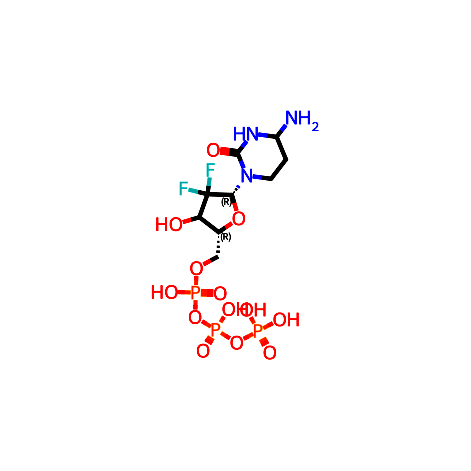 NC1CCN([C@@H]2O[C@H](COP(=O)(O)OP(=O)(O)OP(=O)(O)O)C(O)C2(F)F)C(=O)N1